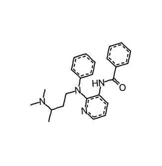 CC(CCN(c1ccccc1)c1ncccc1NC(=O)c1ccccc1)N(C)C